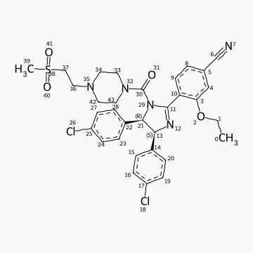 CCOc1cc(C#N)ccc1C1=N[C@@H](c2ccc(Cl)cc2)[C@@H](c2ccc(Cl)cc2)N1C(=O)N1CCN(CCS(C)(=O)=O)CC1